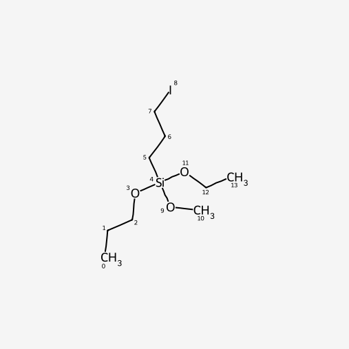 CCCO[Si](CCCI)(OC)OCC